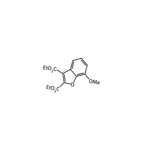 CCOC(=O)c1oc2c(OC)cccc2c1C(=O)OCC